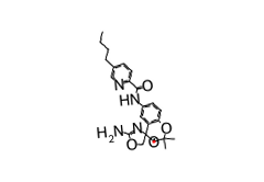 CCCCc1ccc(C(=O)Nc2ccc3c(c2)C2(COC(N)=N2)C2(COC2)C(C)(C)O3)nc1